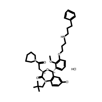 COc1c(OCCCNCCCc2ccccc2)cccc1[C@H]1O[C@H](CC(=O)N2CCCCC2)C(=O)N(CC(C)(C)C)c2ccc(Cl)cc21.Cl